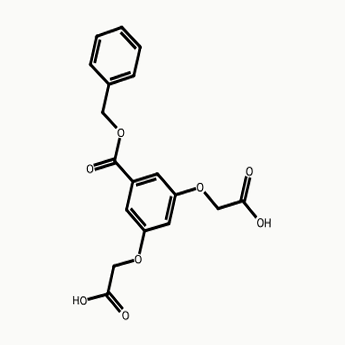 O=C(O)COc1cc(OCC(=O)O)cc(C(=O)OCc2ccccc2)c1